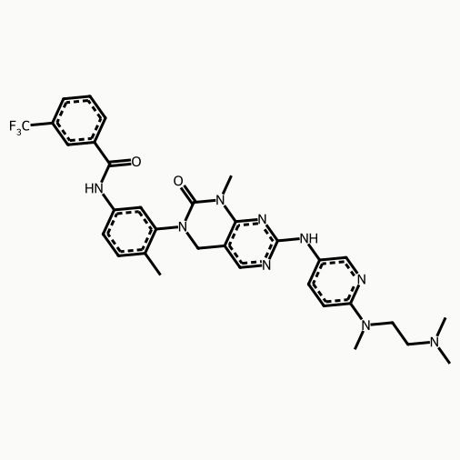 Cc1ccc(NC(=O)c2cccc(C(F)(F)F)c2)cc1N1Cc2cnc(Nc3ccc(N(C)CCN(C)C)nc3)nc2N(C)C1=O